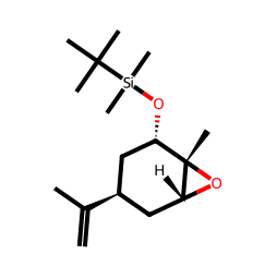 C=C(C)[C@H]1C[C@H](O[Si](C)(C)C(C)(C)C)[C@]2(C)O[C@@H]2C1